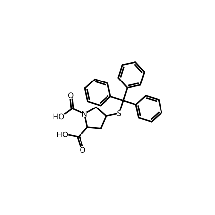 O=C(O)C1CC(SC(c2ccccc2)(c2ccccc2)c2ccccc2)CN1C(=O)O